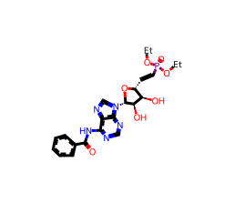 CCOP(=O)(/C=C/[C@H]1O[C@@H](n2cnc3c(NC(=O)c4ccccc4)ncnc32)[C@H](O)[C@@H]1O)OCC